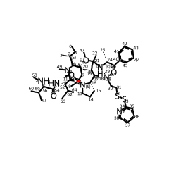 CC[C@H](C)[C@@H]([C@H](C)CC(C)(OC)N1CCC[C@H]1[C@H](C)[C@@H](C)C(C)(N[C@H](C)[C@H](ON(C)CCSSc1ccccn1)c1ccccc1)OC)N(C)C(=O)[C@@H](NC(=O)[C@@H](NC)C(C)C)C(C)C